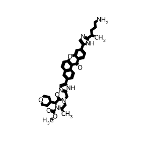 CCCN(Cc1ncc(-c2ccc3c(ccc4oc5cc(-c6cnc(C(C)CCCN)[nH]6)ccc5c(=O)c43)c2)[nH]1)C(=O)[C@@H](NC(=O)OC)C1CCOCC1